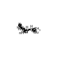 CCCNc1nc(NC(=O)Nc2ccncc2)ncc1C(=O)NCCCNC(=O)CN(C)C(=O)OC(C)(C)C